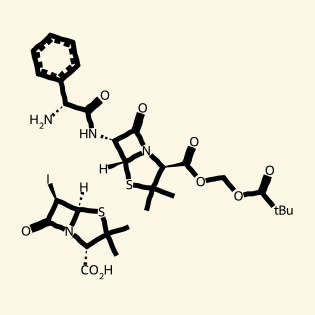 CC(C)(C)C(=O)OCOC(=O)[C@@H]1N2C(=O)[C@@H](NC(=O)[C@H](N)c3ccccc3)[C@H]2SC1(C)C.CC1(C)S[C@@H]2[C@H](I)C(=O)N2[C@H]1C(=O)O